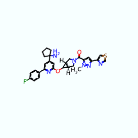 Cn1nc(-c2cscn2)cc1C(=O)N1C[C@@H]2C(Oc3cc(C4(N)CCCC4)cc(-c4ccc(F)cc4)n3)[C@@H]2C1